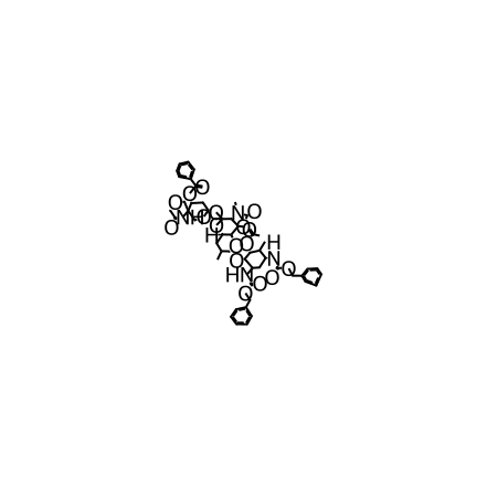 CC(=O)O[C@@H]1C(C)[C@H](NC(=O)OCc2ccccc2)CC(NC(=O)OCc2ccccc2)[C@H]1O[C@H]1OC2C3OC(=O)N(C)C3C(O[C@@H]3C[C@@H](OC(=O)c4ccccc4)C4(COCC(=O)N4)CO3)O[C@H]2CC1C